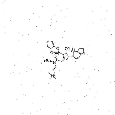 CCCCN(CCC[N+](C)(C)C)C(=O)CN1C[C@H](c2ccc3c(c2)CCO3)[C@@H](C(=O)O)[C@@H]1COc1ccccc1OC